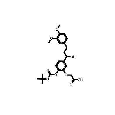 COc1ccc(CCC(O)c2ccc(OC(=O)OC(C)(C)C)c(OCC(=O)O)c2)cc1OC